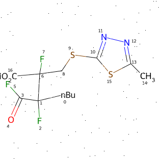 CCCCC(F)(C(=O)F)C(F)(CSc1nnc(C)s1)C(=O)O